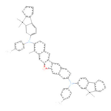 Cc1c(N(C2=CC=C3c4ccccc4C(C)(C)C3C2)c2ccc(C(C)(C)C)cc2)ccc2cc3c(cc12)oc1cc2cc(N(c4ccc(C(C)(C)C)cc4)c4ccc5c(c4)C(C)(C)c4ccccc4-5)ccc2cc13